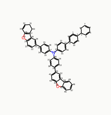 C1=C=C(C2C=CC=CC2)C=CC=1c1ccc(N(c2ccc(-c3ccc4oc5c(c4c3)CCC=C5)cc2)c2ccc(-c3ccc4oc5ccccc5c4c3)cc2)cc1